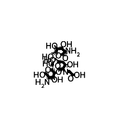 N[C@H]1[C@H](OC2[C@@H](CO)O[C@@H](OC3[C@@H](CO)O[C@@H](O)[C@H](N)[C@H]3O)[C@H](N=CC(=O)O)[C@H]2O)O[C@H](CO)[C@@H](O)[C@@H]1O